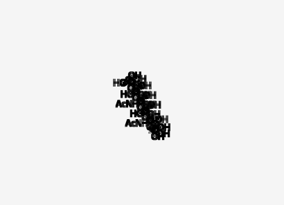 CC(=O)N[C@H]1[C@H](O[C@H]2[C@@H](O)[C@@H](CO)O[C@@H](O[C@H]3[C@H](O)[C@@H](CO)O[C@@H](O[C@H]4[C@@H](O)[C@@H](CO)O[C@@H](O[C@H]5[C@H](O)[C@@H](O)[C@H](O)O[C@@H]5CO)[C@@H]4O)[C@@H]3NC(C)=O)[C@@H]2O)O[C@H](CO)[C@@H](O[C@@H]2O[C@@H](C)[C@@H](O)[C@@H](O)[C@@H]2O)[C@@H]1O